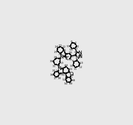 c1ccc(-c2nnn(-c3ccccc3)c2-c2ccc3c(c2)c2ccccc2n3-c2cccc(-n3c4ccccc4c4c5c(ccc43)oc3ccccc35)c2)cc1